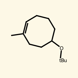 C/C1=C/CCCC(OC(C)(C)C)CC1